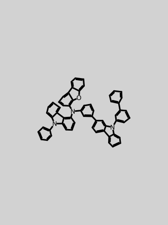 c1ccc(-c2cccc(-n3c4ccccc4c4ccc(-c5cccc(N(c6cccc7c6oc6ccccc67)c6cccc7c6c6ccccc6n7-c6ccccc6)c5)cc43)c2)cc1